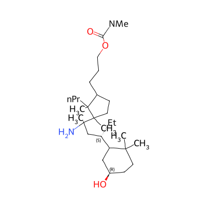 CCCC1(C)C(CCCOC(=O)NC)CCC1(C)C(C)(N)C[C@H](CC)C1C[C@H](O)CCC1(C)C